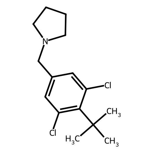 CC(C)(C)c1c(Cl)cc(CN2CCCC2)cc1Cl